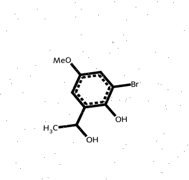 COc1cc(Br)c(O)c(C(C)O)c1